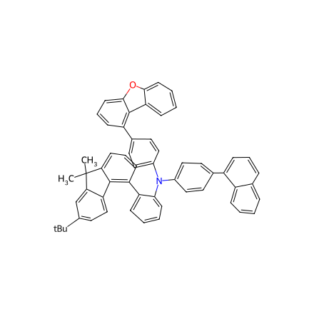 CC(C)(C)c1ccc2c(c1)C(C)(C)c1cccc(-c3ccccc3N(c3ccc(-c4cccc5ccccc45)cc3)c3ccc(-c4cccc5oc6ccccc6c45)cc3)c1-2